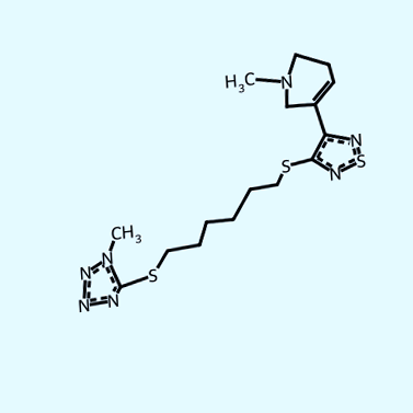 CN1CCC=C(c2nsnc2SCCCCCCSc2nnnn2C)C1